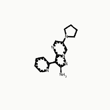 Nc1nn2cc(N3CCCC3)cnc2c1-c1ccccn1